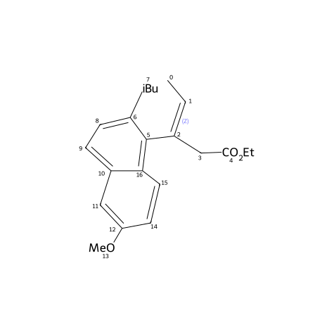 C/C=C(/CC(=O)OCC)c1c(C(C)CC)ccc2cc(OC)ccc12